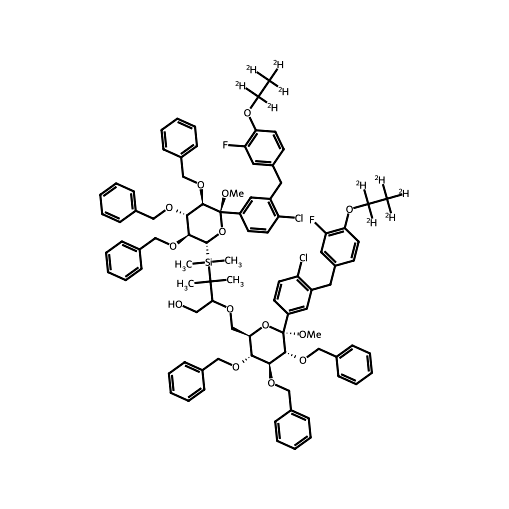 [2H]C([2H])([2H])C([2H])([2H])Oc1ccc(Cc2cc([C@]3(OC)O[C@H](COC(CO)C(C)(C)[Si](C)(C)[C@H]4O[C@@](OC)(c5ccc(Cl)c(Cc6ccc(OC([2H])([2H])C([2H])([2H])[2H])c(F)c6)c5)[C@H](OCc5ccccc5)[C@@H](OCc5ccccc5)[C@@H]4OCc4ccccc4)[C@@H](OCc4ccccc4)[C@H](OCc4ccccc4)[C@H]3OCc3ccccc3)ccc2Cl)cc1F